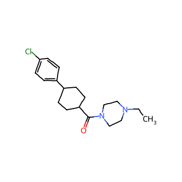 CCN1CCN(C(=O)C2CCC(c3ccc(Cl)cc3)CC2)CC1